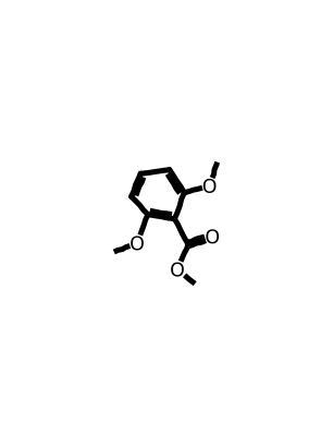 COC(=O)c1c(OC)cccc1OC